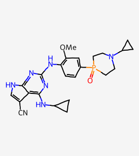 COc1cc(P2(=O)CCN(C3CC3)CC2)ccc1Nc1nc(NC2CC2)c2c(C#N)c[nH]c2n1